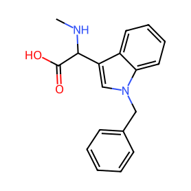 CNC(C(=O)O)c1cn(Cc2ccccc2)c2ccccc12